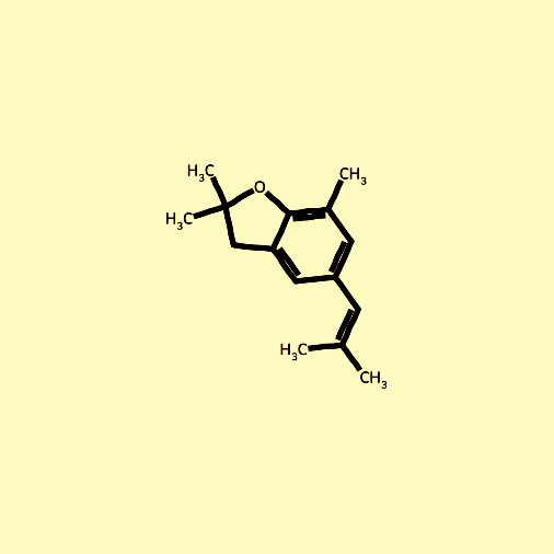 CC(C)=Cc1cc(C)c2c(c1)CC(C)(C)O2